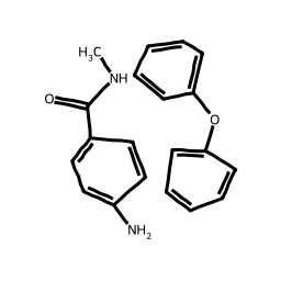 CNC(=O)c1ccc(N)cc1.c1ccc(Oc2ccccc2)cc1